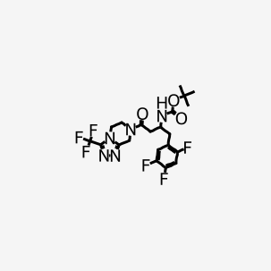 CC(C)(C)OC(=O)NC(CC(=O)N1CCn2c(nnc2C(F)(F)F)C1)Cc1cc(F)c(F)cc1F